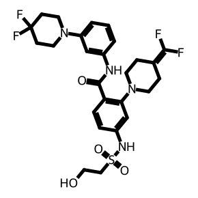 O=C(Nc1cccc(N2CCC(F)(F)CC2)c1)c1ccc(NS(=O)(=O)CCO)cc1N1CCC(=C(F)F)CC1